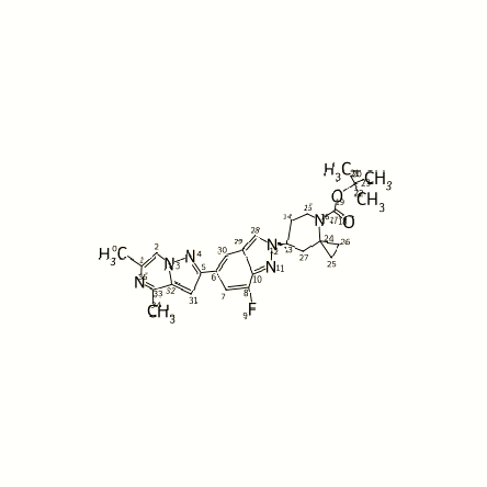 Cc1cn2nc(-c3cc(F)c4nn([C@H]5CCN(C(=O)OC(C)(C)C)C6(CC6)C5)cc4c3)cc2c(C)n1